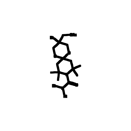 CCN(CC)C(=O)N1C(C)(C)CC2(CC1(C)C)OCC(CC)(COC(C)=O)CO2